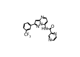 O=C(Nc1ccnc2cc(-c3cccc(C(F)(F)F)c3)nn12)c1cnccn1